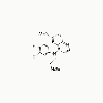 CNCCN(c1ccc(F)c(Cl)c1)c1ccnc2ccc(OC)cc12